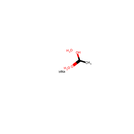 CC(=O)O.O.O.[NaH]